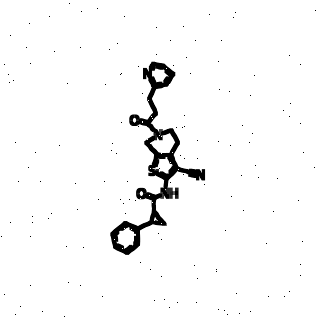 N#Cc1c(NC(=O)C2CC2c2ccccc2)sc2c1CCN(C(=O)CCc1ccccn1)C2